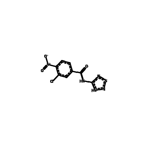 O=C(Nc1nnn[nH]1)c1ccc([N+](=O)[O-])c(Cl)c1